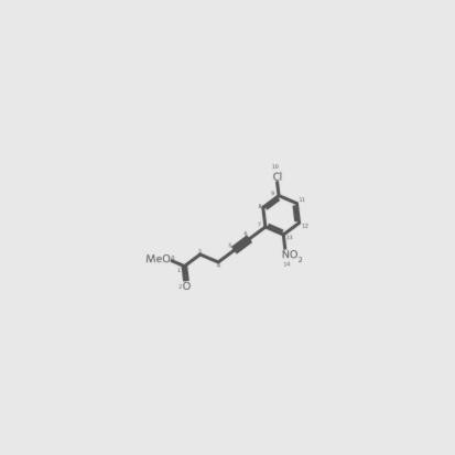 COC(=O)CCC#Cc1cc(Cl)ccc1[N+](=O)[O-]